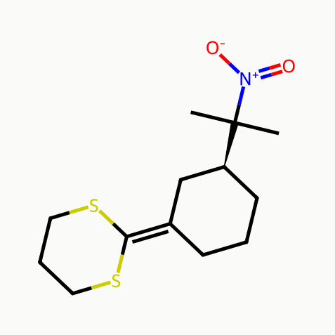 CC(C)([C@H]1CCCC(=C2SCCCS2)C1)[N+](=O)[O-]